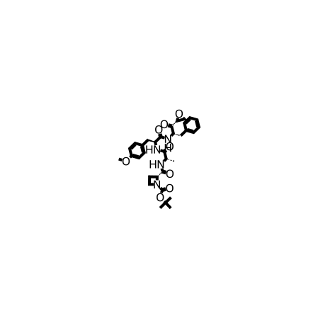 COc1ccc(C[C@H](NC(=O)[C@H](C)NC(=O)[C@H]2CCN2C(=O)OC(C)(C)C)C(=O)N[C@@H](Cc2ccccc2)C(=O)[C@H]2CO2)cc1